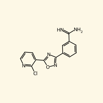 N=C(N)c1cccc(-c2noc(-c3cccnc3Cl)n2)c1